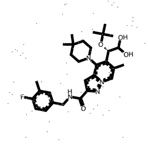 Cc1cc(CNC(=O)c2cc3c(N4CCC(C)(C)CC4)c([C@H](OC(C)(C)C)C(O)O)c(C)cn3n2)ccc1F